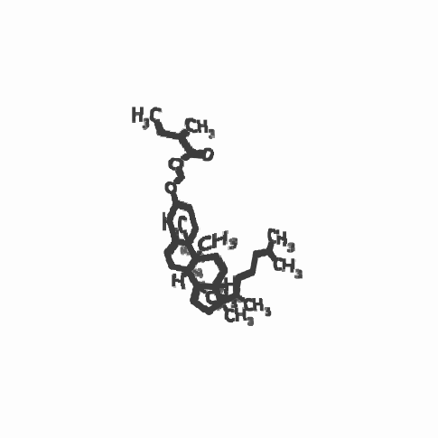 CCC(C)C(=O)OCOC1CC[C@@]2(C)C(=CC[C@H]3[C@]4(C)CC[C@](C)([C@H](C)CCCC(C)C)[C@H]4CC[C@@]32C)C1